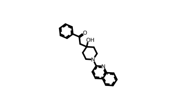 O=C(CC1(O)CCN(c2ccc3ccccc3n2)CC1)c1ccccc1